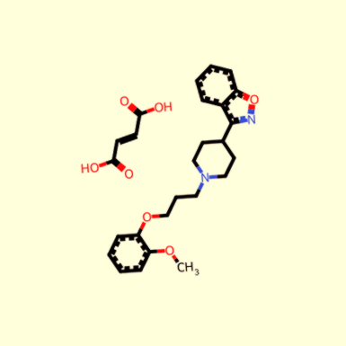 COc1ccccc1OCCCN1CCC(c2noc3ccccc23)CC1.O=C(O)/C=C/C(=O)O